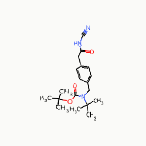 CC(C)(C)OC(=O)N(Cc1ccc(CC(=O)NC#N)cc1)C(C)(C)C